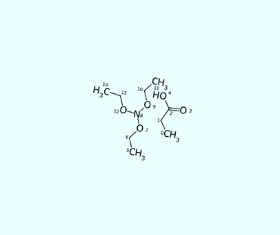 CCC(=O)O.CCON(OCC)OCC